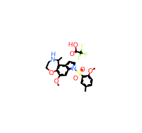 COc1ccc(C)cc1S(=O)(=O)n1ccc2c3c(c(OC)cc21)OCCNC3C.O=C(O)C(F)(F)F